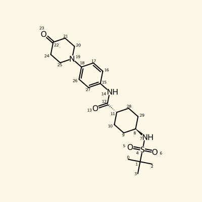 CC(C)(C)S(=O)(=O)N[C@H]1CC[C@H](C(=O)Nc2ccc(N3CCC(=O)CC3)cc2)CC1